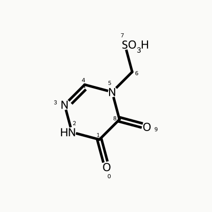 O=c1[nH]n[c]n(CS(=O)(=O)O)c1=O